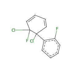 Fc1ccccc1C1(Cl)C=C[C]=CC1(F)Cl